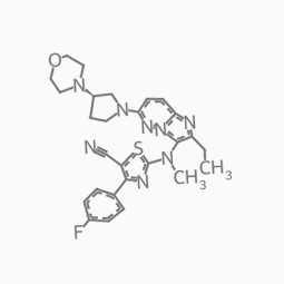 CCc1nc2ccc(N3CC[C@@H](N4CCOCC4)C3)nn2c1N(C)c1nc(-c2ccc(F)cc2)c(C#N)s1